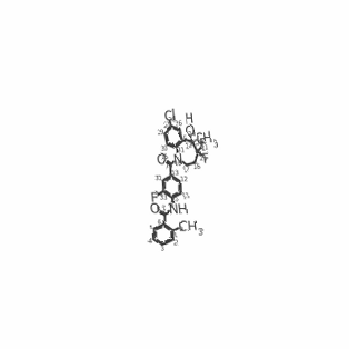 Cc1ccccc1C(=O)Nc1ccc(C(=O)N2CCC(F)(F)[C@](C)(O)c3cc(Cl)ccc32)cc1F